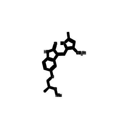 CCCCO[C@@H](C)COc1ccc2c(c1)/C(=C/c1[nH]c(C)cc1C(=O)OCC)C(=O)N2